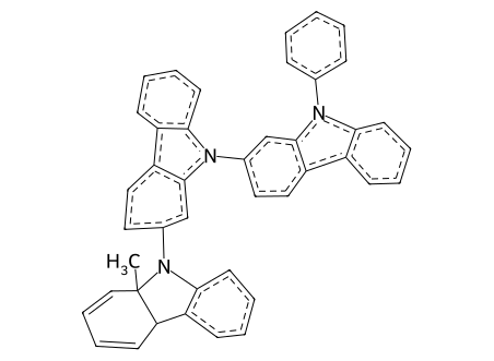 CC12C=CC=CC1c1ccccc1N2c1ccc2c3ccccc3n(-c3ccc4c5ccccc5n(-c5ccccc5)c4c3)c2c1